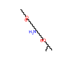 CCCCCCCOC(=O)CCCCCCCCCC(N)CCCCCCCC(=O)OCCCCC(CCCC)CCCC